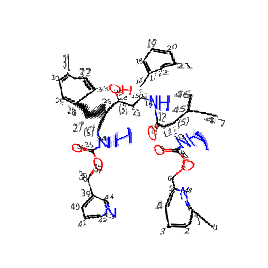 Cc1cccc(COC(=O)N[C@H](C(=O)N[C@@H](Cc2ccccc2)C[C@H](O)[C@H](Cc2ccccc2)NC(=O)OCc2cccnc2)C(C)C)n1